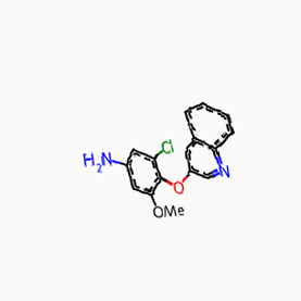 COc1cc(N)cc(Cl)c1Oc1cnc2ccccc2c1